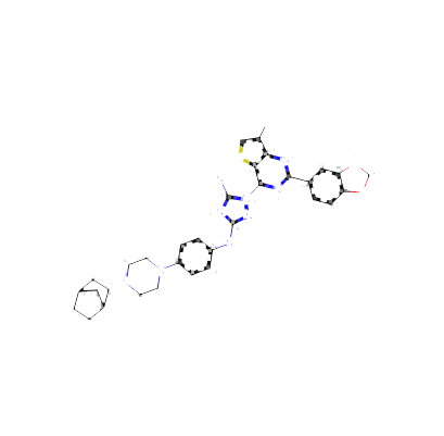 Cc1csc2c(-n3nc(Nc4ccc(N5CCN([C@H]6CC7CCC6C7)CC5)cc4)nc3N)nc(-c3ccc4c(c3)OCO4)nc12